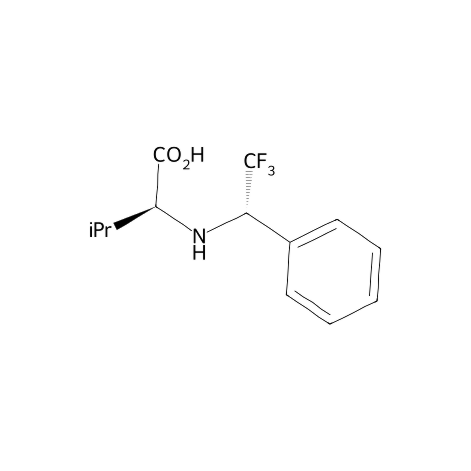 CC(C)[C@H](N[C@@H](c1ccccc1)C(F)(F)F)C(=O)O